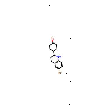 O=C1CCC(C2CCc3cc(Br)ccc3N2)CC1